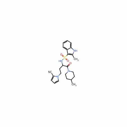 Cc1[nH]c2ccccc2c1S(=O)(=O)NC(CCn1cccc1C#N)C(=O)N1CCC(C)CC1